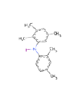 Cc1ccc(N(I)c2cc(C)cc(C)c2C)c(C)c1